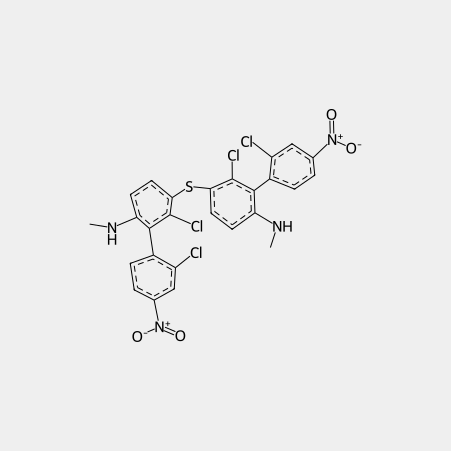 CNc1ccc(Sc2ccc(NC)c(-c3ccc([N+](=O)[O-])cc3Cl)c2Cl)c(Cl)c1-c1ccc([N+](=O)[O-])cc1Cl